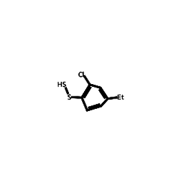 CCc1ccc(SS)c(Cl)c1